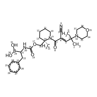 CC(C)(C=C(C#N)C(=O)N1CCCC[C@]1(C)COC(=O)NC(Cc1ccccc1)B(O)O)N1CCOCC1